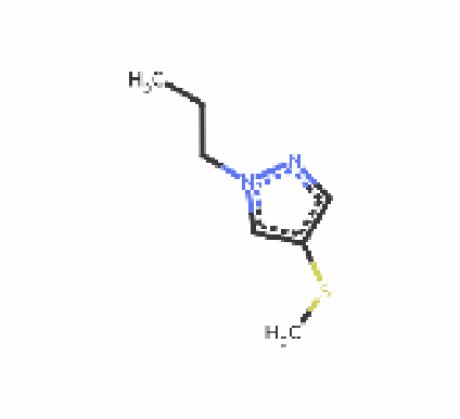 CCCn1cc(SC)cn1